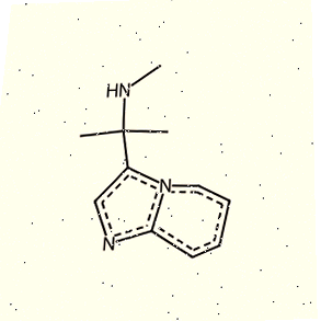 CNC(C)(C)c1cnc2ccccn12